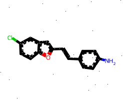 Nc1ccc(C=Cc2cc3cc(Cl)ccc3o2)cc1